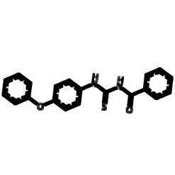 O=C(NC(=S)Nc1ccc(Oc2ccccc2)cc1)c1ccccc1